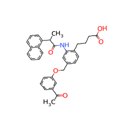 CC(=O)c1cccc(OCc2ccc(CCCC(=O)O)c(NC(=O)C(C)c3cccc4ccccc34)c2)c1